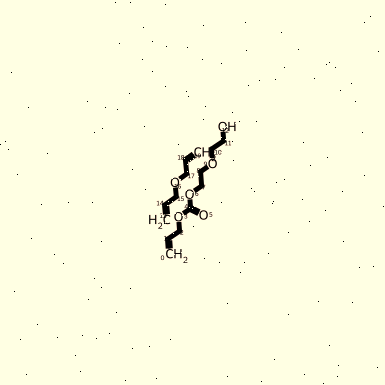 C=CCOC(=O)OCCOCCO.C=CCOCC=C